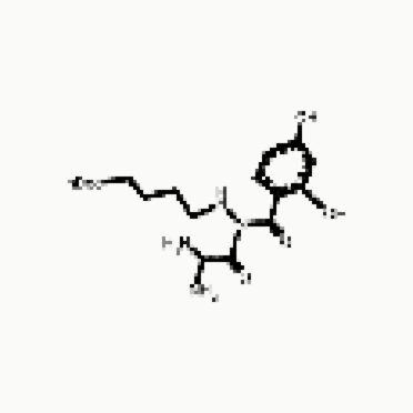 CCCCCCCCCCCCCCNN(C(=O)c1ccc(O)cc1O)C(=O)C(N)N